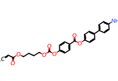 C=CC(=O)OCCCCOC(=O)Oc1ccc(C(=O)Oc2ccc(-c3ccc(N)cc3)cc2)cc1